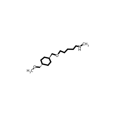 CNCCCCCOC[C@H]1CC[C@H](COC)CC1